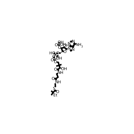 CCC(C)(C)C(=O)SCCNC(=O)CCNC(=O)[C@H](O)C(C)(C)COP(=O)(O)OP(=O)(O)OC[C@H]1O[C@@H](n2cnc3c(N)ncnc32)[C@H](O)[C@@H]1OP(=O)(O)O